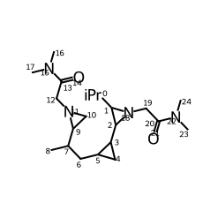 CC(C)C1C(C2CC2CC(C)C2CN2CC(=O)N(C)C)N1CC(=O)N(C)C